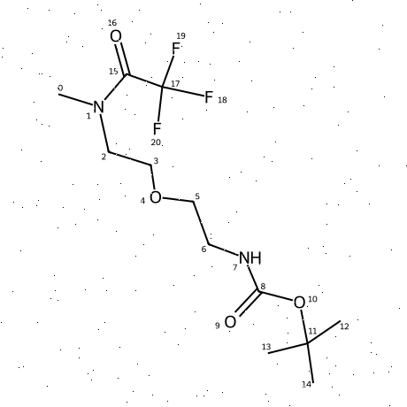 CN(CCOCCNC(=O)OC(C)(C)C)C(=O)C(F)(F)F